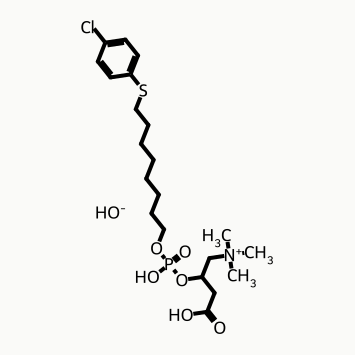 C[N+](C)(C)CC(CC(=O)O)OP(=O)(O)OCCCCCCCCSc1ccc(Cl)cc1.[OH-]